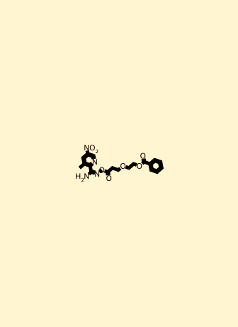 Cc1cc([N+](=O)[O-])cnc1/C(N)=N\OC(=O)CCOCCOC(=O)c1ccccc1